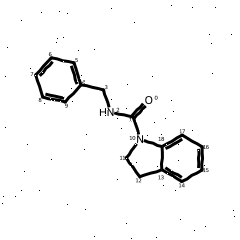 O=C(NCc1ccccc1)N1CCc2ccccc21